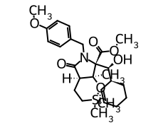 COC(=O)[C@]1([C@@H](O)[C@@H]2C=CCCC2)N(Cc2ccc(OC)cc2)C(=O)[C@@H]2CC[Si](C)(C)O[C@@]21C